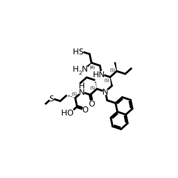 CCC[C@@H](C(=O)N[C@@H](CCSC)C(=O)O)N(Cc1cccc2ccccc12)C[C@@H](NC[C@@H](N)CS)[C@@H](C)CC